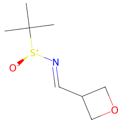 CC(C)(C)[S@+]([O-])N=CC1COC1